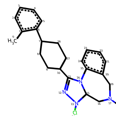 Cc1ccccc1C1CCC(C2=NN(Cl)C3CN(C)Cc4ccccc4N23)CC1